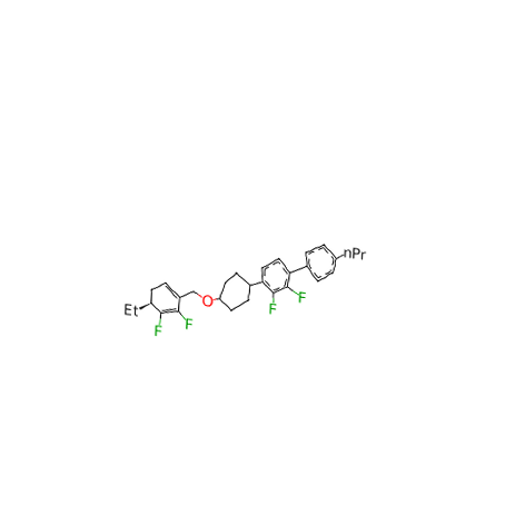 CCCc1ccc(-c2ccc(C3CCC(OCC4=CC[C@H](CC)C(F)=C4F)CC3)c(F)c2F)cc1